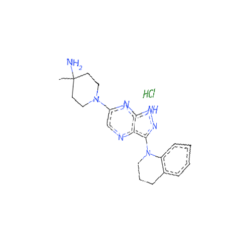 CC1(N)CCN(c2cnc3c(N4CCCc5ccccc54)n[nH]c3n2)CC1.Cl